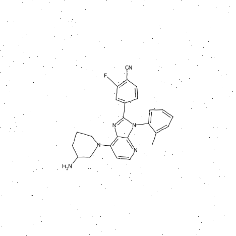 Cc1ccccc1-n1c(-c2ccc(C#N)c(F)c2)nc2c(N3CCCC(N)C3)ccnc21